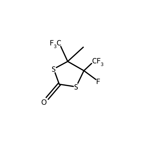 CC1(C(F)(F)F)SC(=O)SC1(F)C(F)(F)F